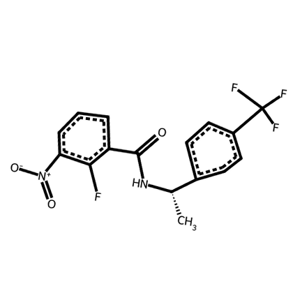 C[C@H](NC(=O)c1cccc([N+](=O)[O-])c1F)c1ccc(C(F)(F)F)cc1